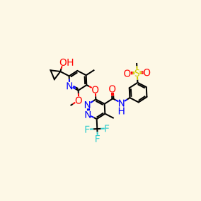 COc1nc(C2(O)CC2)cc(C)c1Oc1nnc(C(F)(F)F)c(C)c1C(=O)Nc1cccc(S(C)(=O)=O)c1